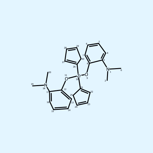 CN(C)c1ccccc1[O][Zr]([O]c1ccccc1N(C)C)([C]1=CC=CC1)[C]1=CC=CC1